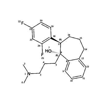 CN(C)CCC[C@]1(O)c2ccccc2CCC[C@@H]1c1ccc(F)cc1F